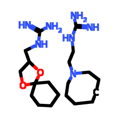 N=C(N)NCC1COC2(CCCCC2)O1.N=C(N)NCCN1CCCCCCC1